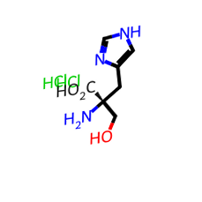 Cl.Cl.N[C@@](CO)(Cc1c[nH]cn1)C(=O)O